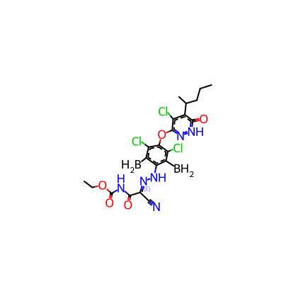 Bc1c(Cl)c(Oc2n[nH]c(=O)c(C(C)CCC)c2Cl)c(Cl)c(B)c1N/N=C(\C#N)C(=O)NC(=O)OCC